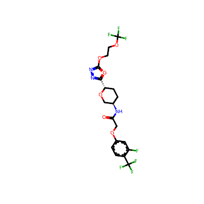 O=C(COc1ccc(C(F)(F)F)c(F)c1)N[C@@H]1CC[C@@H](c2nnc(OCCOC(F)(F)F)o2)OC1